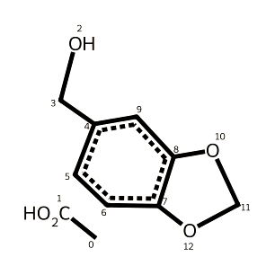 CC(=O)O.OCc1ccc2c(c1)OCO2